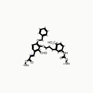 CC(C)(C)OC(=O)/C=C/c1ccc(OCc2ccccc2)c(OCCCc2cc(NC(=O)OC(C)(C)C)ccc2C(=O)O)c1C=O